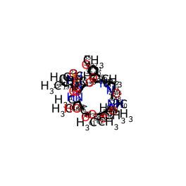 CC[C@H](C)[C@H]1NC(=O)[C@@H](NC(=O)[C@@H](CC(C)C)N(C)S(C)(=O)=O)[C@@H](C)OC(=O)[C@H](Cc2ccc(OC)cc2)N(C)[C@@H]2CCCN2C(=O)[C@H](CC(C)C)NC(=O)[C@@H](C)C(=O)[C@H](C(C)C)OC(=O)C[C@@H]1O